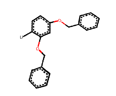 [Li][c]1ccc(OCc2ccccc2)cc1OCc1ccccc1